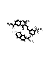 CS(=O)(=O)c1cccc(CCn2c(O)nc3ccc(C(N)=O)cc3c2=O)c1.NC(=O)c1ccc2c(c1)C[16NH]C=C2